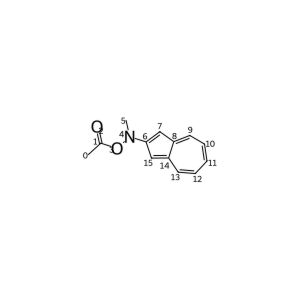 CC(=O)ON(C)c1cc2cccccc-2c1